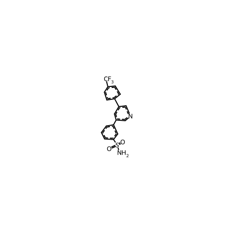 NS(=O)(=O)c1cccc(-c2cncc(-c3ccc(C(F)(F)F)cc3)c2)c1